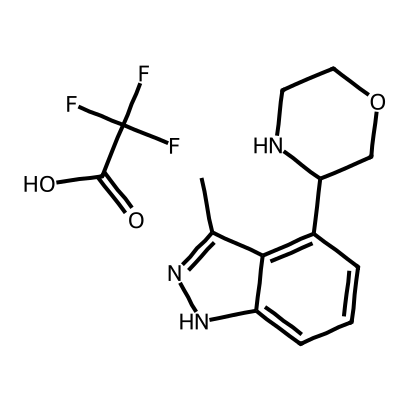 Cc1n[nH]c2cccc(C3COCCN3)c12.O=C(O)C(F)(F)F